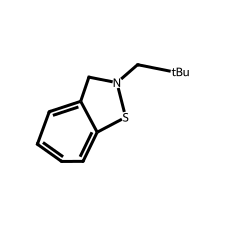 CC(C)(C)CN1Cc2ccccc2S1